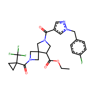 CCOC(=O)C1CN(C(=O)c2cnn(Cc3ccc(F)cc3)c2)CC12CN(C(=O)C1(C(F)(F)F)CC1)C2